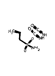 C=CCS(N)(=O)=O.N=C=O.N=C=O